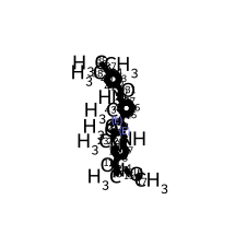 C/C=C(\C=C(\Nc1ccc(C(=O)N(C)CCOC)cn1)C(=O)CC)c1cccc(NC(=O)c2ccc(C(C)(C)C)cc2)c1C